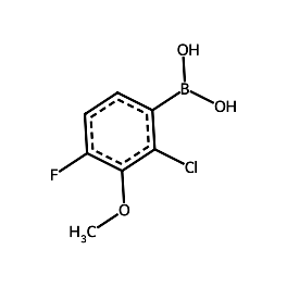 COc1c(F)ccc(B(O)O)c1Cl